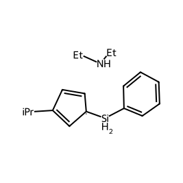 CC(C)C1=C[C]([SiH2]c2ccccc2)C=C1.CCNCC